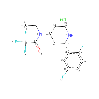 CCN(C(=O)C(F)(F)F)[C@@H]1CCN[C@H](c2cc(F)ccc2F)C1.Cl